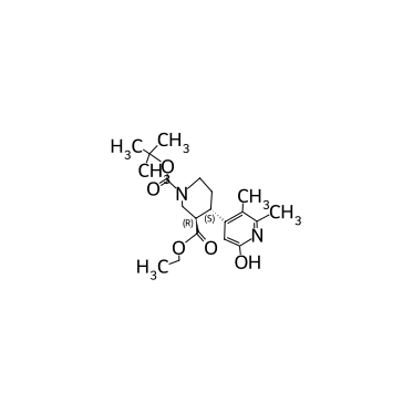 CCOC(=O)[C@H]1CN(C(=O)OC(C)(C)C)CC[C@@H]1c1cc(O)nc(C)c1C